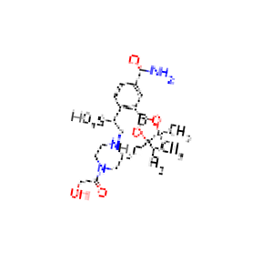 CC1(C)OB(c2cc(C(N)=O)ccc2C(CN2CCN(C(=O)CO)CC2)S(=O)(=O)O)OC1(C)C